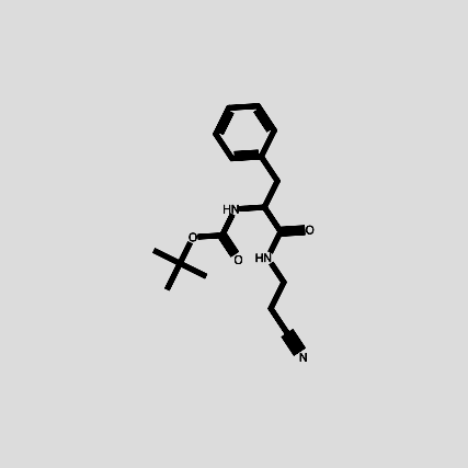 CC(C)(C)OC(=O)NC(Cc1ccccc1)C(=O)NCCC#N